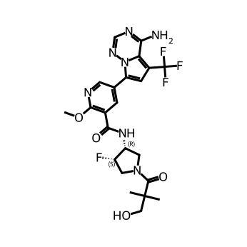 COc1ncc(-c2cc(C(F)(F)F)c3c(N)ncnn23)cc1C(=O)N[C@@H]1CN(C(=O)C(C)(C)CO)C[C@@H]1F